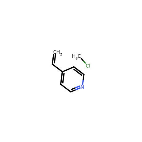 C=Cc1ccncc1.CCl